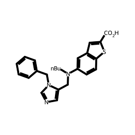 CCCCN(Cc1cncn1Cc1ccccc1)c1ccc2sc(C(=O)O)cc2c1